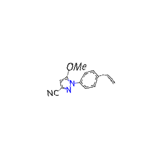 C=Cc1ccc(-n2nc(C#N)cc2OC)cc1